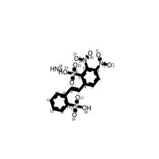 O=[N+]([O-])c1ccc(C=Cc2ccccc2S(=O)(=O)O)c(S(=O)(=O)O)c1[N+](=O)[O-].[NaH]